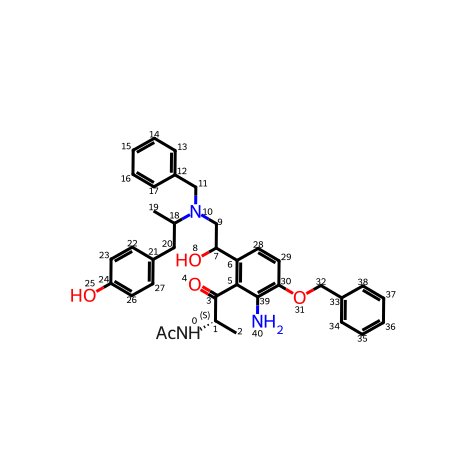 CC(=O)N[C@@H](C)C(=O)c1c(C(O)CN(Cc2ccccc2)C(C)Cc2ccc(O)cc2)ccc(OCc2ccccc2)c1N